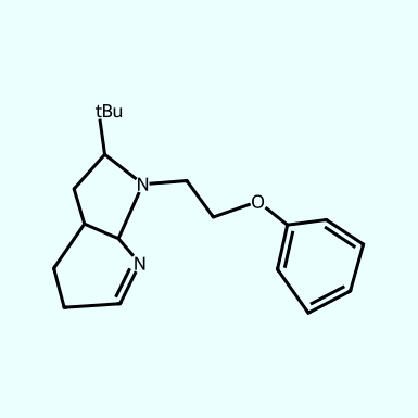 CC(C)(C)C1CC2CCC=NC2N1CCOc1ccccc1